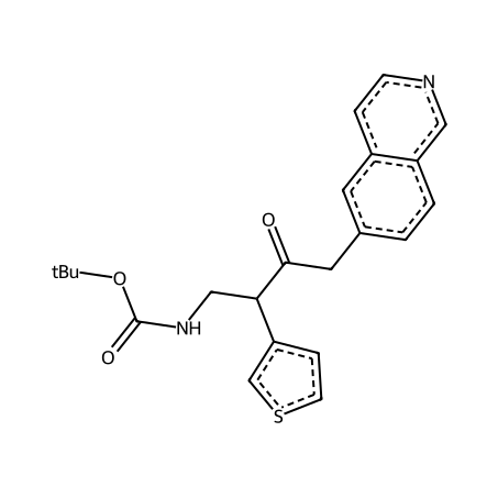 CC(C)(C)OC(=O)NCC(C(=O)Cc1ccc2cnccc2c1)c1ccsc1